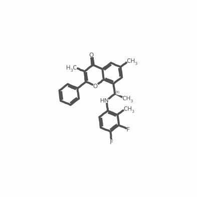 Cc1cc([C@@H](C)Nc2ccc(F)c(F)c2C)c2oc(-c3ccccc3)c(C)c(=O)c2c1